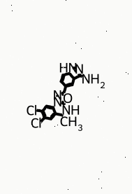 C[C@@H](Nc1nnc(C2=CC3C(N)=NNC3C=C2)o1)c1ccc(Cl)c(Cl)c1